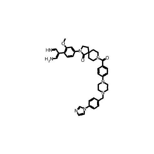 COc1cc(N2CCC3(CCN(C(=O)c4ccc(N5CCN(Cc6ccc(-n7ccnc7)cc6)CC5)cc4)CC3)C2=O)ccc1/C(C=N)=C/N